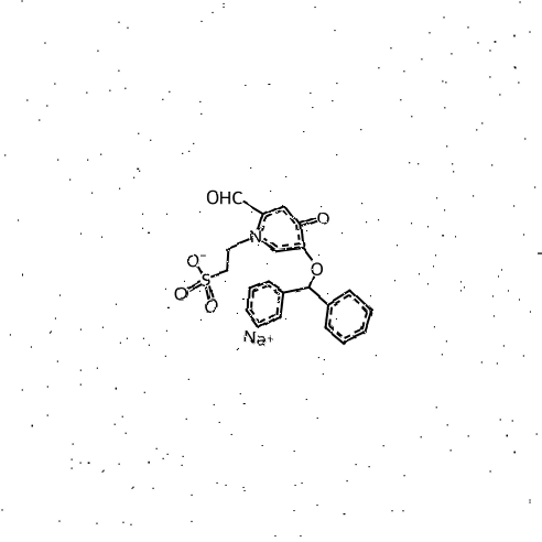 O=Cc1cc(=O)c(OC(c2ccccc2)c2ccccc2)cn1CCS(=O)(=O)[O-].[Na+]